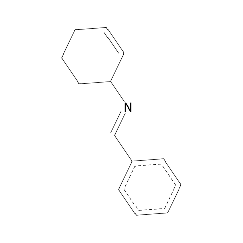 C1=CC(N=Cc2ccccc2)CCC1